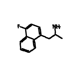 CC([NH])Cc1ccc(F)c2ccccc12